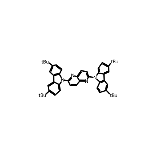 CC(C)(C)c1ccc2c(c1)c1cc(C(C)(C)C)ccc1n2-c1ccc2nc(-n3c4ccc(C(C)(C)C)cc4c4cc(C(C)(C)C)ccc43)ccc2n1